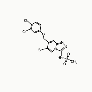 CS(=O)(=O)Nc1nnc2cc(COc3ccc(Cl)c(Cl)c3)c(Br)cn12